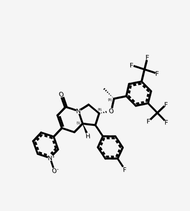 C[C@@H](O[C@H]1CN2C(=O)C=C(c3ccc[n+]([O-])c3)C[C@H]2C1c1ccc(F)cc1)c1cc(C(F)(F)F)cc(C(F)(F)F)c1